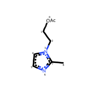 CC(=O)OCCn1ccnc1C